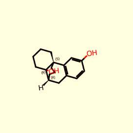 Oc1ccc2c(c1)[C@@]13CCCC[C@@]1(O)[C@H](CCC3)C2